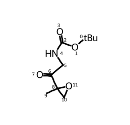 CC(C)(C)OC(=O)NCC(=O)C1(C)CO1